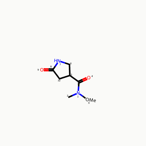 CON(C)C(=O)C1CNC(=O)C1